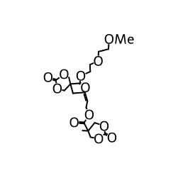 COCCOCCOC(=O)C1(C/C=C\COC(=O)C2(C)COC(=O)OC2)COC(=O)OC1